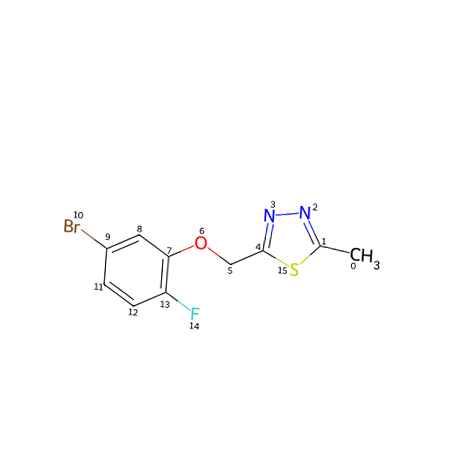 Cc1nnc(COc2cc(Br)ccc2F)s1